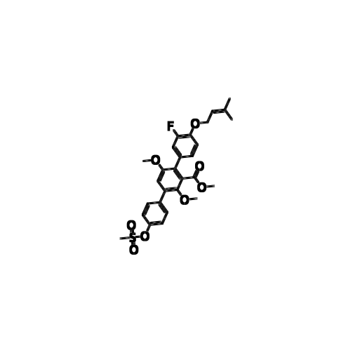 COC(=O)c1c(OC)c(-c2ccc(OS(C)(=O)=O)cc2)cc(OC)c1-c1ccc(OCC=C(C)C)c(F)c1